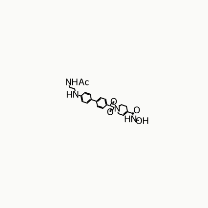 CC(=O)NCCNc1ccc(-c2ccc(S(=O)(=O)N3CC=C(C(=O)NO)CC3)cc2)cc1